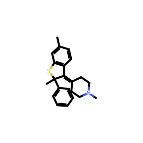 Cc1ccc2c(c1)SC(C)(c1ccccc1)C2=C1CCN(C)CC1